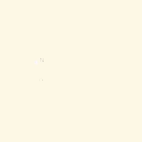 C/C=N/C(=O)c1ccc2c(ccc3ccccc32)c1